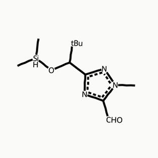 Cn1nc(C(O[SiH](C)C)C(C)(C)C)nc1C=O